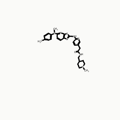 Cc1ccc(N(C)c2ccc3nc(Nc4ccc(CC(=O)NCC5CCN(C)CC5)cn4)sc3n2)cc1